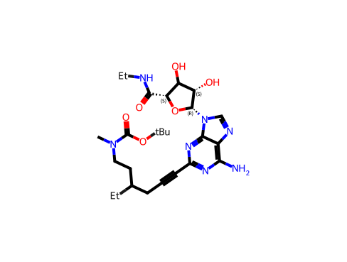 CCNC(=O)[C@H]1O[C@@H](n2cnc3c(N)nc(C#CCC(CC)CCN(C)C(=O)OC(C)(C)C)nc32)[C@@H](O)C1O